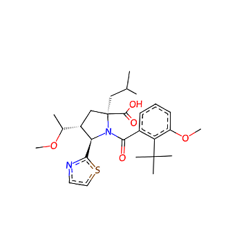 COc1cccc(C(=O)N2[C@@H](c3nccs3)[C@H](C(C)OC)C[C@@]2(CC(C)C)C(=O)O)c1C(C)(C)C